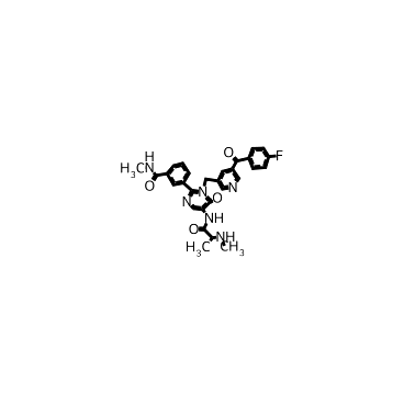 CNC(=O)c1cccc(-c2ncc(NC(=O)C(C)NC)c(=O)n2Cc2cncc(C(=O)c3ccc(F)cc3)c2)c1